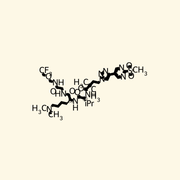 CC(C)[C@H](NC(=O)C(C)(C)CCn1cc(-c2cnc(S(C)(=O)=O)nc2)nn1)C(=O)N[C@@H](CCCCN(C)C)C(=O)NCC(=O)NCOCC(F)(F)F